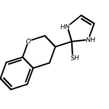 SC1(C2COc3ccccc3C2)NC=CN1